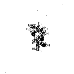 CC(=O)N[C@@H](CS)C(=O)N[C@@H](CC(N)=O)C(=O)N[C@@H](Cc1c[nH]c2ccccc12)C(=O)N[C@@H](CC(N)=O)C(=O)N[C@@H](CO)C(=O)N[C@@H](Cc1ccccc1)C(=O)N[C@@H](CS)C(=O)N[C@@H](CC(C)C)C(=O)N[C@@H](CCCNC(=N)N)C(=O)N[C@@H](Cc1ccc(O)cc1)C(N)=O